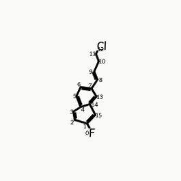 Fc1ccc2ccc(/C=C/CCCl)cc2c1